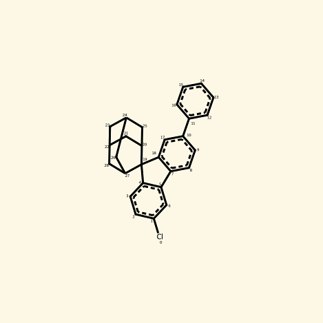 Clc1ccc2c(c1)-c1ccc(-c3ccccc3)cc1C21C2CC3CC(C2)CC1C3